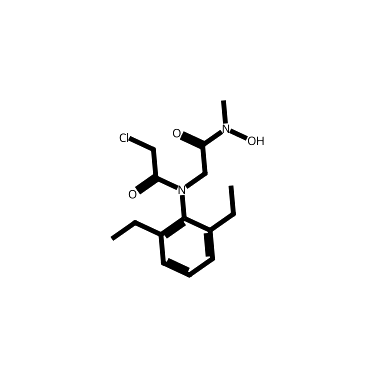 CCc1cccc(CC)c1N(CC(=O)N(C)O)C(=O)CCl